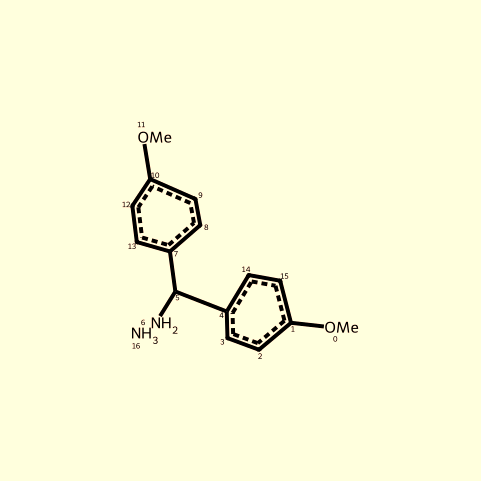 COc1ccc(C(N)c2ccc(OC)cc2)cc1.N